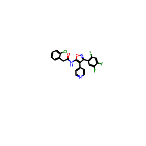 O=C(Cc1ccccc1Cl)Nc1onc(-c2cc(F)c(F)cc2F)c1-c1ccncc1